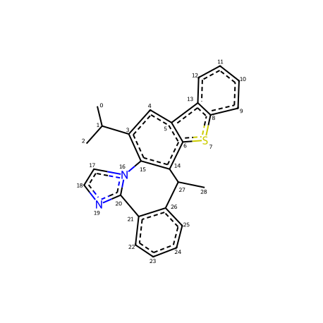 CC(C)c1cc2c(sc3ccccc32)c2c1-n1ccnc1-c1ccccc1C2C